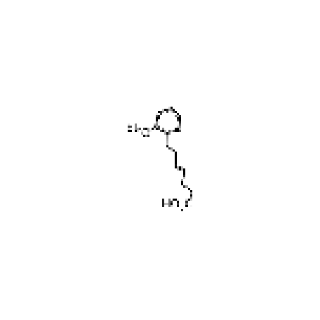 CCOc1ccccc1CCC=CCCC(=O)O